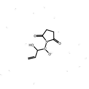 C=CC(O)[S+]([O-])N1C(=O)CCC1=O